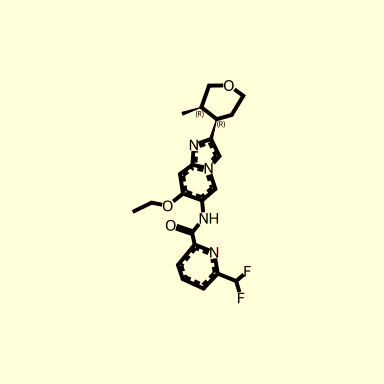 CCOc1cc2nc([C@@H]3CCOC[C@@H]3C)cn2cc1NC(=O)c1cccc(C(F)F)n1